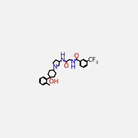 Cc1ccccc1C1(O)CCC(N2CCC(NC(=O)CNC(=O)c3cccc(C(F)(F)F)c3)C2)CC1